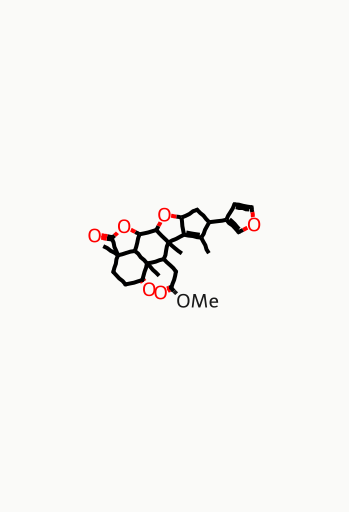 COC(=O)CC1C2(C)C3=C(C)C(c4ccoc4)CC3OC2C2OC(=O)C3(C)CCC(=O)C1(C)C23